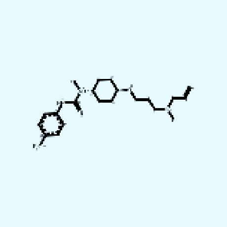 C=CCN(C)CCCO[C@H]1CC[C@H](N(C)C(=S)Nc2ccc(C(F)(F)F)cc2)CC1